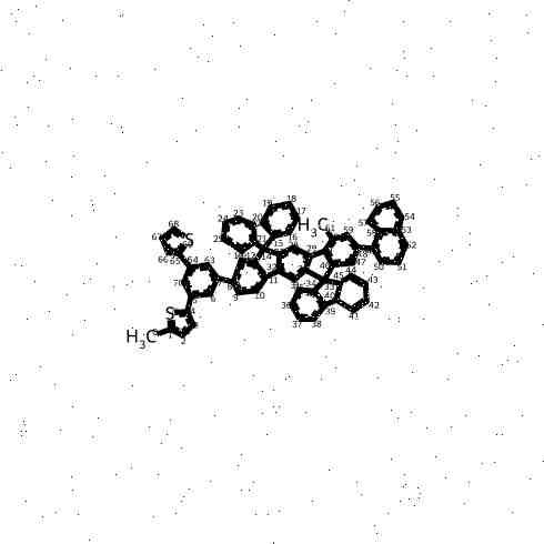 Cc1ccc(-c2cc(-c3ccc4c(c3)C(c3ccccc3)(c3ccccc3)c3cc5c(cc3-4)C3(c4ccccc4C4C=CC=CC43)c3cc(-c4cccc6ccccc46)cc(C)c3-5)cc(-c3cccs3)c2)s1